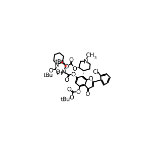 CCN(CC1CCCCN1C(=O)OC(C)(C)C)C(=O)Oc1cc(OC(=O)OC(C)(C)C)c2c(=O)cc(-c3ccccc3Cl)oc2c1[C@H]1CCN(C)C[C@H]1OC(=O)OC(C)(C)C